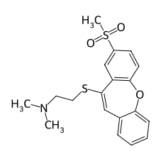 CN(C)CCSC1=Cc2ccccc2Oc2ccc(S(C)(=O)=O)cc21